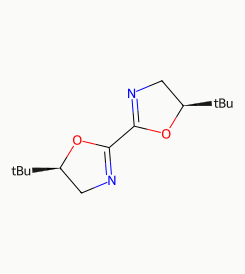 CC(C)(C)[C@@H]1CN=C(C2=NC[C@@H](C(C)(C)C)O2)O1